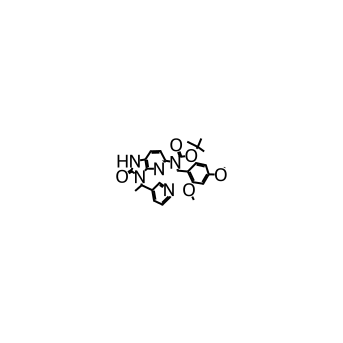 COc1ccc(CN(C(=O)OC(C)(C)C)c2ccc3[nH]c(=O)n(C(C)c4cccnc4)c3n2)c(OC)c1